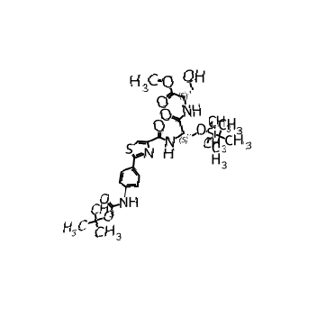 COC(=O)[C@H](CO)NC(=O)[C@H](CO[Si](C)(C)C(C)(C)C)NC(=O)c1csc(-c2ccc(NC(=O)OC(C)(C)C)cc2)n1